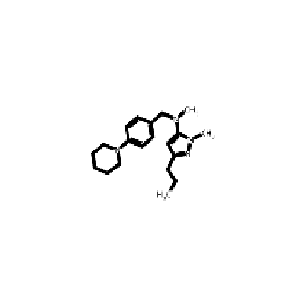 CCCc1cc(N(C)Cc2ccc(N3CCCCC3)cc2)n(C)n1